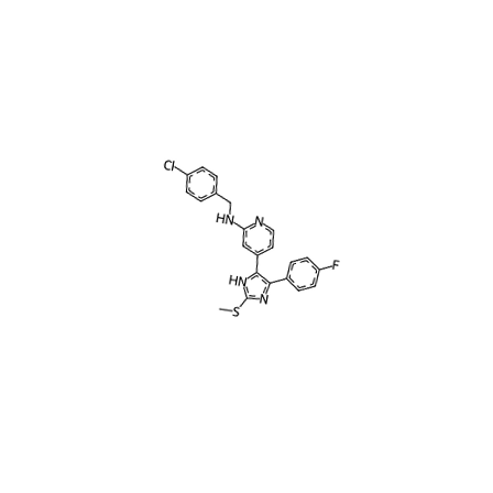 CSc1nc(-c2ccc(F)cc2)c(-c2ccnc(NCc3ccc(Cl)cc3)c2)[nH]1